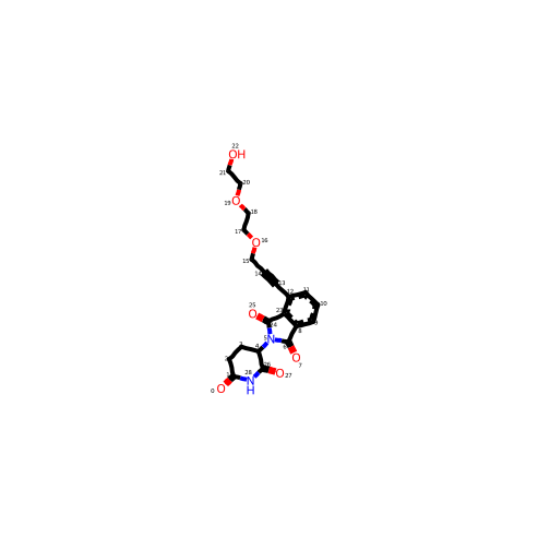 O=C1CCC(N2C(=O)c3cccc(C#CCOCCOCCO)c3C2=O)C(=O)N1